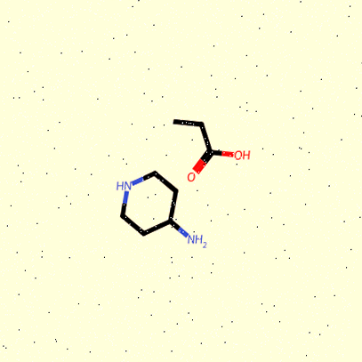 CCC(=O)O.NC1CCNCC1